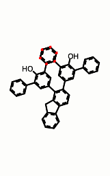 Oc1c(-c2ccccc2)cc(-c2ccc3c(c2-c2cc(-c4ccccc4)c(O)c(-c4ccccc4)c2)Cc2ccccc2-3)cc1-c1ccccc1